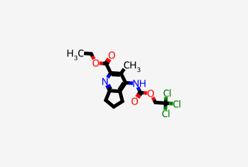 CCOC(=O)c1nc2c(c(NC(=O)OCC(Cl)(Cl)Cl)c1C)CCC2